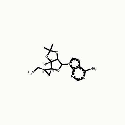 CC1(C)OC2C(n3cnc4c(N)ncnc43)O[C@@]3(C[C@H]3CN)[C@@H]2O1